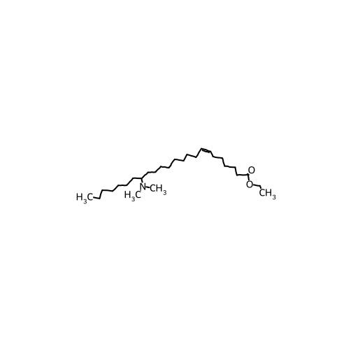 CCCCCCCC(CCCCCCCC/C=C\CCCCCC(=O)OCC)N(C)C